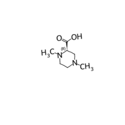 CN1CCN(C)[C@@H](C(=O)O)C1